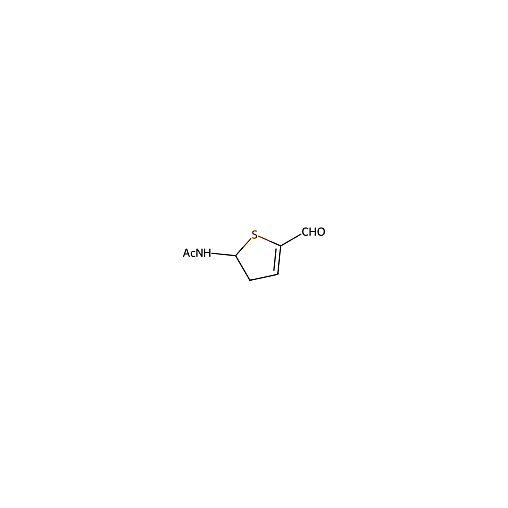 CC(=O)NC1CC=C(C=O)S1